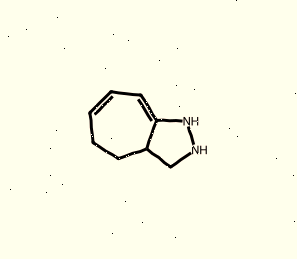 C1=CCCC2CNNC2=C1